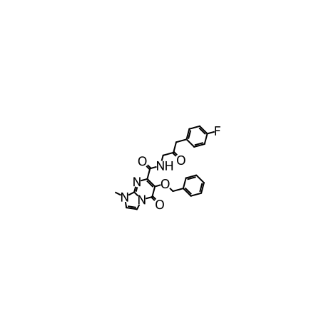 Cn1ccn2c(=O)c(OCc3ccccc3)c(C(=O)NCC(=O)Cc3ccc(F)cc3)nc12